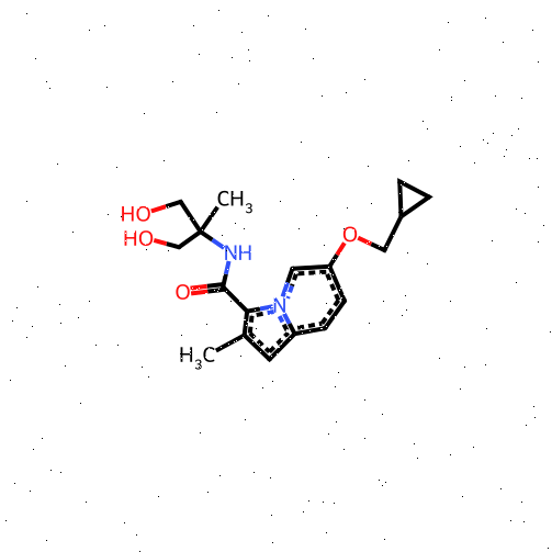 Cc1cc2ccc(OCC3CC3)cn2c1C(=O)NC(C)(CO)CO